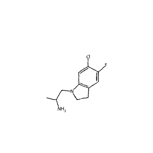 CC(N)CN1CCc2cc(F)c(Cl)cc21